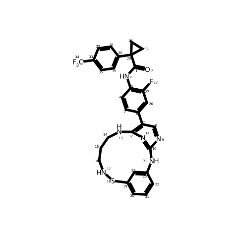 O=C(Nc1ccc(-c2cnc3nc2NCCCNSc2cccc(c2)N3)cc1F)C1(c2ccc(C(F)(F)F)cc2)CC1